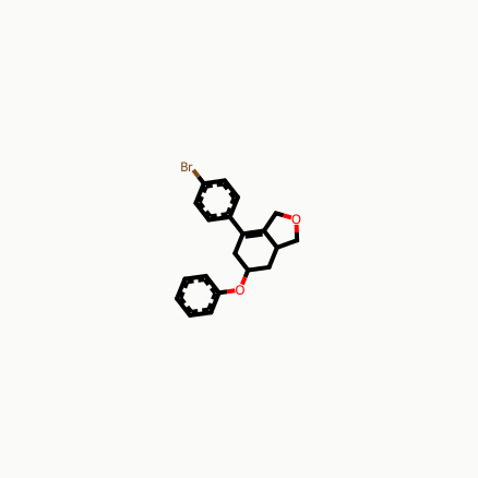 Brc1ccc(C2=C3COCC3CC(Oc3ccccc3)C2)cc1